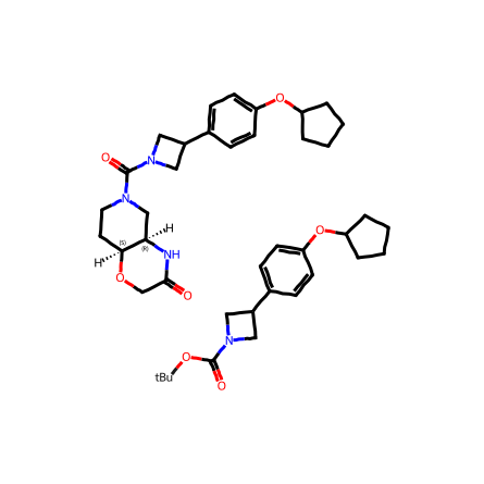 CC(C)(C)OC(=O)N1CC(c2ccc(OC3CCCC3)cc2)C1.O=C1CO[C@H]2CCN(C(=O)N3CC(c4ccc(OC5CCCC5)cc4)C3)C[C@H]2N1